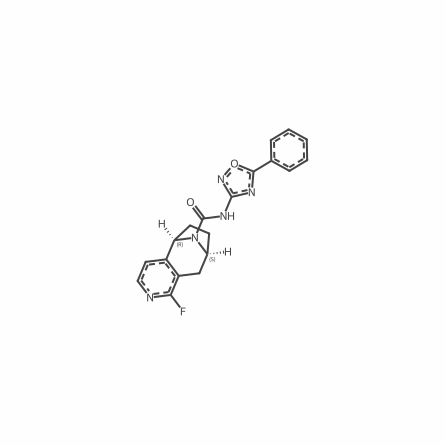 O=C(Nc1noc(-c2ccccc2)n1)N1[C@H]2CC[C@@H]1c1ccnc(F)c1C2